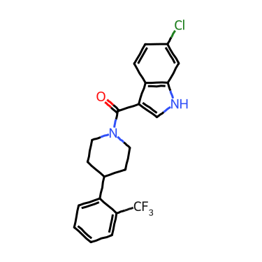 O=C(c1c[nH]c2cc(Cl)ccc12)N1CCC(c2ccccc2C(F)(F)F)CC1